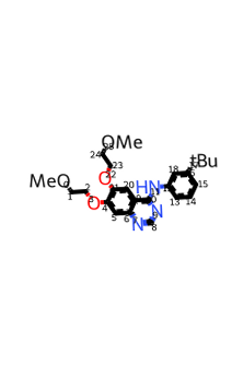 COCCOc1cc2ncnc(Nc3cccc(C(C)(C)C)c3)c2cc1OCCOC